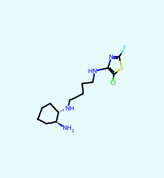 N[C@H]1CCCC[C@@H]1NCCCCNc1nc(F)sc1Cl